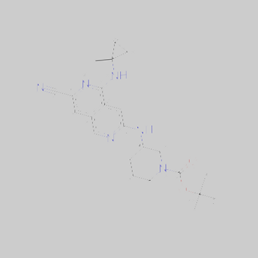 CC1(Nc2nc(C#N)cc3cnc(NC4CCCN(C(=O)OC(C)(C)C)C4)cc23)CC1